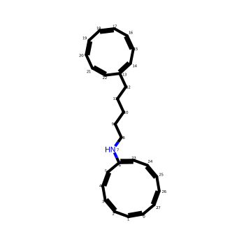 C1=C\C=C/C=C\C(NCCCCCc2ccccccccc2)=C/C=C\C=C/1